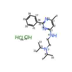 Cc1cc(NCCN(C(C)C)C(C)C)nc(-c2ccccc2)n1.Cl.Cl